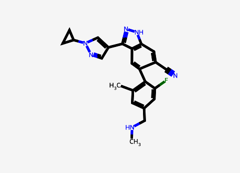 CNCc1cc(C)c(-c2cc3c(-c4cnn(C5CC5)c4)n[nH]c3cc2C#N)c(F)c1